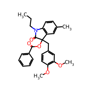 CCCN1C(=O)C(Cc2ccc(OC)c(OC)c2)(OC(=O)c2ccccc2)c2cc(C)ccc21